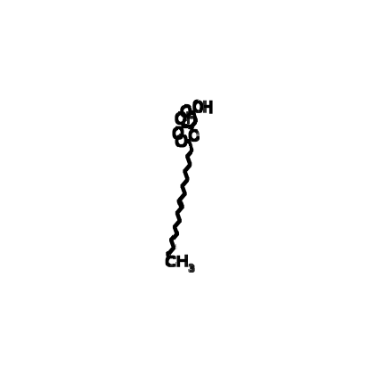 CCCCCCCCC=CCCCCCCCC(=O)OC(CC(=O)O)C(=O)O